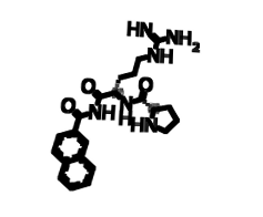 N=C(N)NCCC[C@H](NC(=O)[C@@H]1CCCN1)C(=O)NC(=O)c1ccc2ccccc2c1